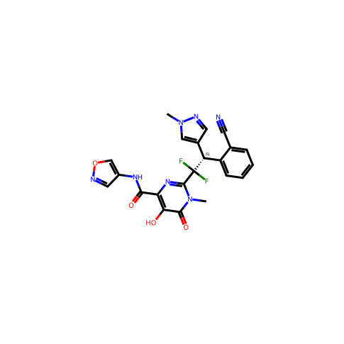 Cn1cc([C@H](c2ccccc2C#N)C(F)(F)c2nc(C(=O)Nc3cnoc3)c(O)c(=O)n2C)cn1